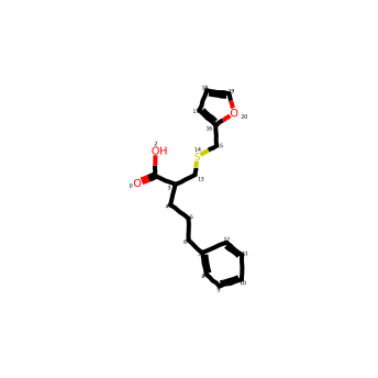 O=C(O)C(CCCc1ccccc1)CSCc1ccco1